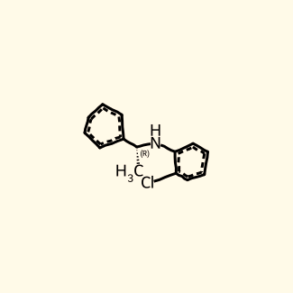 C[C@@H](Nc1ccccc1Cl)c1ccccc1